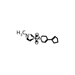 C[n+]1ccn(S(=O)(=O)N2CC=C(C3=CCCC3)CC2)c1